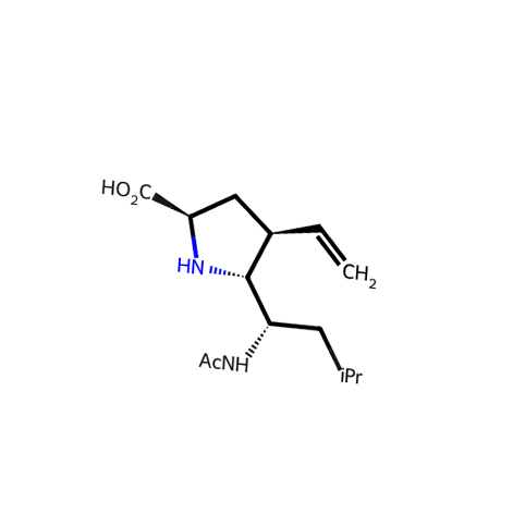 C=C[C@@H]1C[C@H](C(=O)O)N[C@H]1[C@H](CC(C)C)NC(C)=O